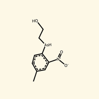 Cc1ccc([AsH]CCO)c([N+](=O)[O-])c1